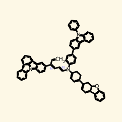 C=C/C(=C\C=C\N(C1=CC=C(C2=CC=C3c4ccccc4OC3C2)CC1)c1ccc(-c2ccc3c(c2)c2ccccc2n3-c2ccccc2)cc1)c1ccc2c(c1)c1cccc3c4ccccc4n2c31